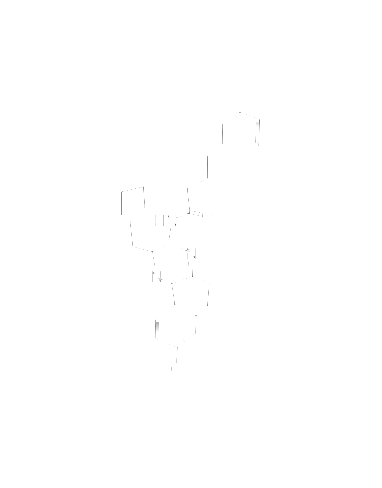 O=C(CCCc1ccccc1)Nc1nc2c(nc1CC1CCCC1)-c1ccc(O)cc1CC2